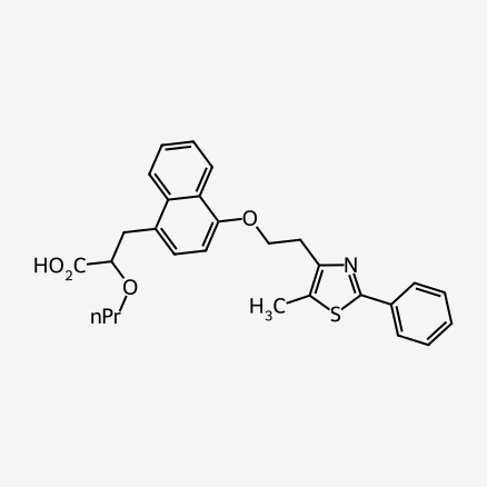 CCCOC(Cc1ccc(OCCc2nc(-c3ccccc3)sc2C)c2ccccc12)C(=O)O